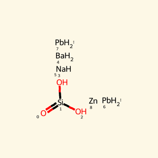 O=[Si](O)O.[BaH2].[NaH].[PbH2].[PbH2].[Zn]